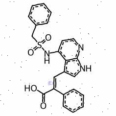 O=C(O)/C(=C/c1c[nH]c2nccc(NS(=O)(=O)Cc3ccccc3)c12)c1ccccc1